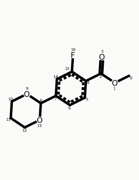 COC(=O)c1ccc(C2OCCCO2)cc1F